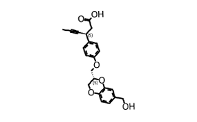 CC#C[C@@H](CC(=O)O)c1ccc(OC[C@H]2COc3ccc(CO)cc3O2)cc1